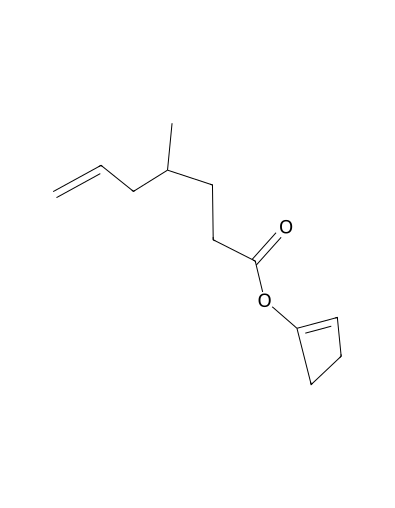 C=CCC(C)CCC(=O)OC1=CCC1